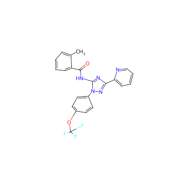 Cc1ccccc1C(=O)Nc1nc(-c2ccccn2)nn1-c1ccc(OC(F)(F)F)cc1